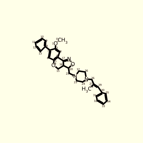 COc1cc2c(cc1-c1ccccc1)OCC1C2=NOC1CN1CCN(C/C(C)=C/c2ccccc2)CC1